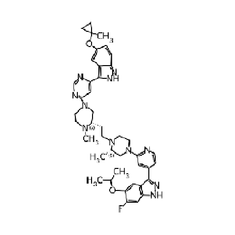 CC(C)Oc1cc2c(-c3ccnc(N4CCN(CC[C@H]5CN(c6cc(-c7[nH]nc8ccc(OC9(C)CC9)cc78)ncn6)CCN5C)[C@@H](C)C4)c3)n[nH]c2cc1F